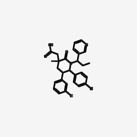 CCC(c1cccnc1)N1C(=O)C(C)(CC(=O)O)CC(c2cccc(Cl)c2)C1c1ccc(Cl)cc1